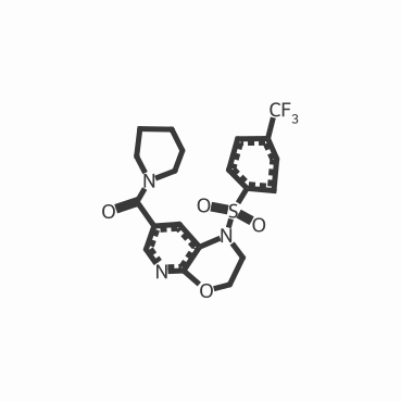 O=C(c1cnc2c(c1)N(S(=O)(=O)c1ccc(C(F)(F)F)cc1)CCO2)N1CCCCC1